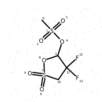 CS(=O)(=O)OC1OS(=O)(=O)CC1(F)F